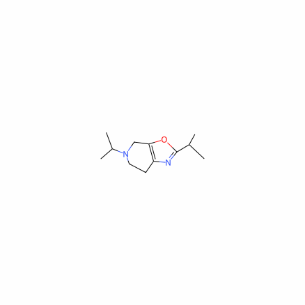 CC(C)c1nc2c(o1)CN(C(C)C)CC2